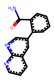 NC(=O)c1ccccc1-c1cnc2ncccc2c1